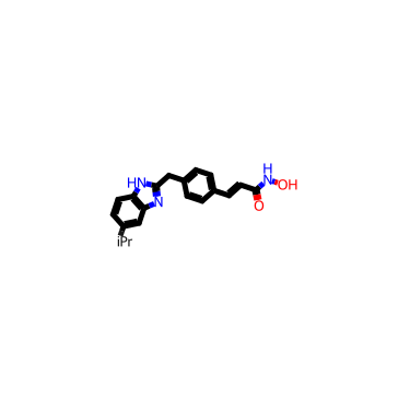 CC(C)c1ccc2[nH]c(Cc3ccc(/C=C/C(=O)NO)cc3)nc2c1